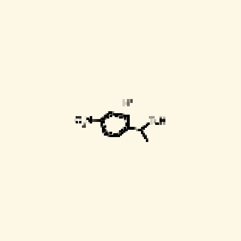 CC([TeH])c1ccc([N+](=O)[O-])cc1.[H+]